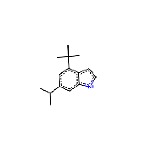 CC(C)c1cc(C(C)(C)C)c2cc[nH]c2c1